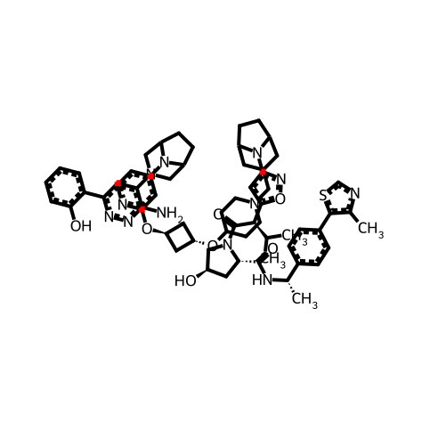 Cc1ncsc1-c1ccc([C@H](C)NC(=O)[C@@H]2C[C@@H](O)CN2C(=O)[C@@H](c2cc(N3C4CCC3CC(CN3CCC(O[C@H]5C[C@H](Oc6cc(N7C8CCC7CN(c7cc(-c9ccccc9O)nnc7N)C8)ccn6)C5)CC3)C4)no2)C(C)C)cc1